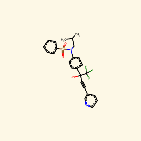 CC(C)CN(c1ccc(C(O)(C#Cc2cccnc2)C(F)(F)F)cc1)S(=O)(=O)c1ccccc1